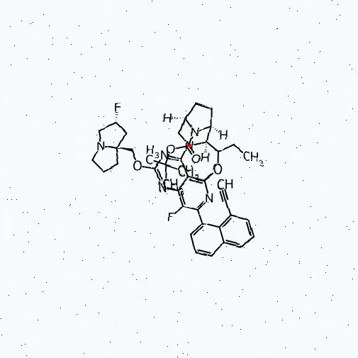 C#Cc1cccc2cccc(-c3nc4c5c(nc(OC[C@@]67CCCN6C[C@H](F)C7)nc5c3F)N3C[C@H]5CC[C@@H]([C@H]3C(CC)O4)N5C(=O)OC(C)(C)C)c12